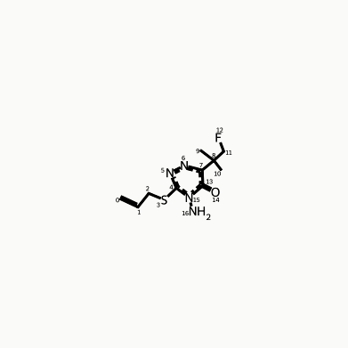 C=CCSc1nnc(C(C)(C)CF)c(=O)n1N